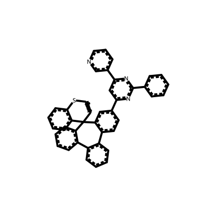 c1ccc(-c2nc(-c3cccnc3)cc(-c3ccc4c(c3)C3(c5ccccc5Sc5ccccc53)c3ccccc3-c3ccccc3-4)n2)cc1